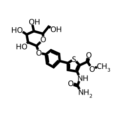 COC(=O)c1sc(-c2ccc(OC3OC(CO)C(O)C(O)C3O)cc2)cc1NC(N)=O